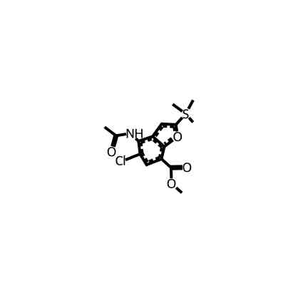 COC(=O)c1cc(Cl)c(NC(C)=O)c2cc(S(C)(C)C)oc12